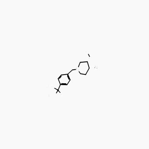 CC(C)(C)c1ccc(CN2CC[C@@H](N)[C@@H](CO)C2)cc1